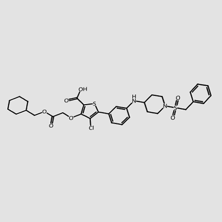 O=C(COc1c(C(=O)O)sc(-c2cccc(NC3CCN(S(=O)(=O)Cc4ccccc4)CC3)c2)c1Cl)OCC1CCCCC1